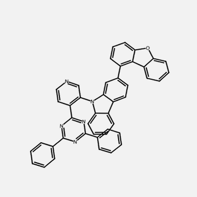 c1ccc(-c2nc(-c3ccccc3)nc(-c3ccncc3-n3c4ccccc4c4ccc(-c5cccc6oc7ccccc7c56)cc43)n2)cc1